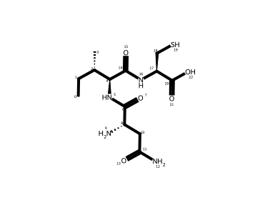 CC[C@H](C)[C@H](NC(=O)[C@@H](N)CC(N)=O)C(=O)N[C@@H](CS)C(=O)O